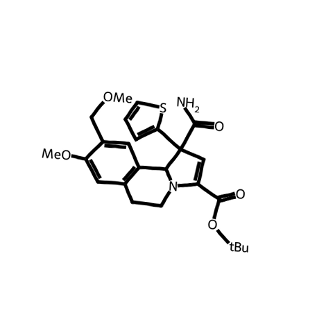 COCc1cc2c(cc1OC)CCN1C(C(=O)OC(C)(C)C)=CC(C(N)=O)(c3cccs3)C21